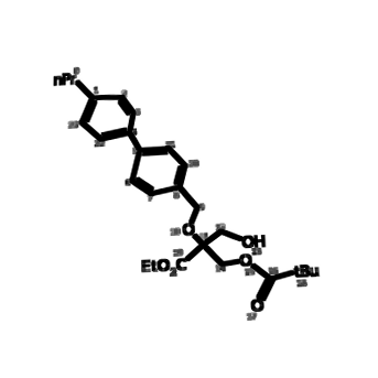 CCCc1ccc(-c2ccc(COC(CO)(COC(=O)C(C)(C)C)C(=O)OCC)cc2)cc1